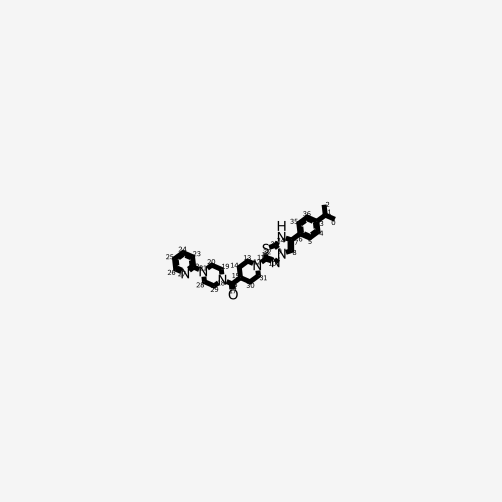 CC(C)c1ccc(C2=CN3N=C(N4CCC(C(=O)N5CCN(c6ccccn6)CC5)CC4)SC3N2)cc1